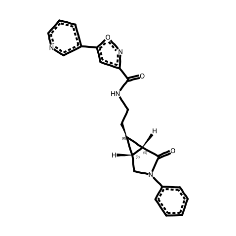 O=C(NCC[C@@H]1[C@H]2CN(c3ccccc3)C(=O)[C@@H]12)c1cc(-c2cccnc2)on1